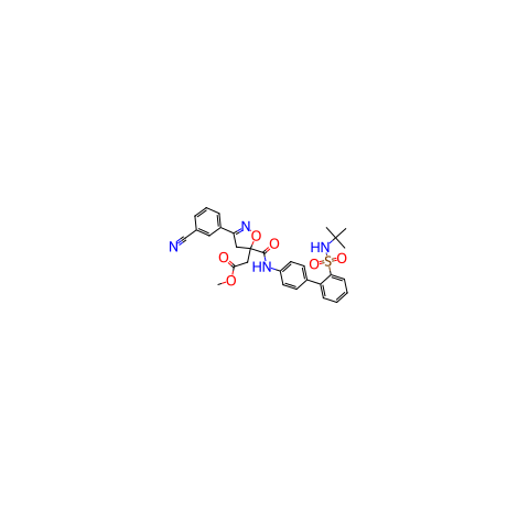 COC(=O)CC1(C(=O)Nc2ccc(-c3ccccc3S(=O)(=O)NC(C)(C)C)cc2)CC(c2cccc(C#N)c2)=NO1